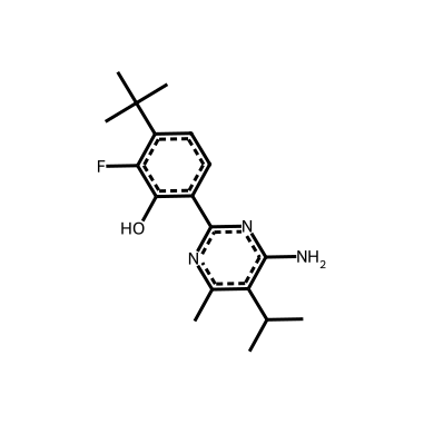 Cc1nc(-c2ccc(C(C)(C)C)c(F)c2O)nc(N)c1C(C)C